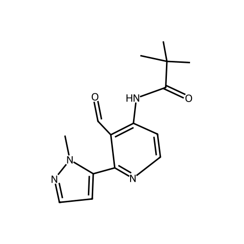 Cn1nccc1-c1nccc(NC(=O)C(C)(C)C)c1C=O